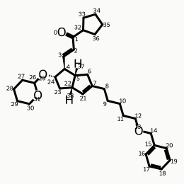 O=C(C=C[C@H]1[C@@H]2CC(CCCCCOCc3ccccc3)=C[C@@H]2C[C@@H]1OC1CCCCO1)C1CCCC1